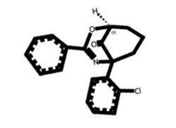 O=C1[C@@H]2CCCC1(c1ccccc1Cl)N=C(c1ccccc1)O2